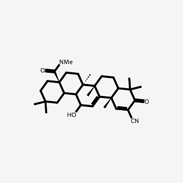 CNC(=O)[C@]12CCC(C)(C)CC1C1C(O)C=C3[C@@]4(C)C=C(C#N)C(=O)C(C)(C)C4CC[C@@]3(C)[C@]1(C)CC2